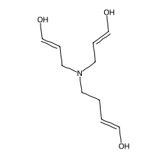 OC=CCCN(CC=CO)CC=CO